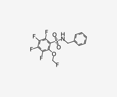 O=S(=O)(NCc1ccccc1)c1c(F)c(F)c(F)c(F)c1OCF